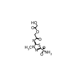 Cn1nc(S(N)(=O)=O)sc1=NC(=O)COC(=O)CO